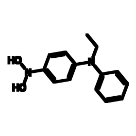 CCN(c1ccccc1)c1ccc(N(O)O)cc1